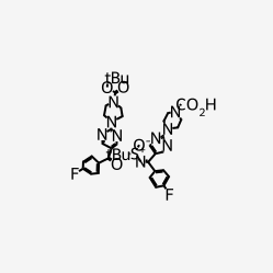 CC(C)(C)OC(=O)N1CCN(c2ncc(C(=O)c3ccc(F)cc3)cn2)CC1.CC(C)(C)[S+]([O-])N=C(c1ccc(F)cc1)c1cnc(N2CCN(C(=O)O)CC2)nc1